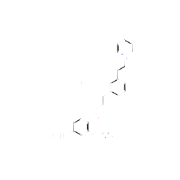 COc1cc(C=O)ccc1OCCCc1cccc(C=C[n+]2ccccc2)c1.[Cl-]